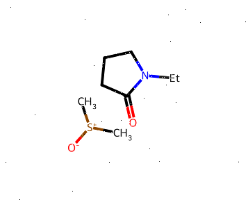 CCN1CCCC1=O.C[S+](C)[O-]